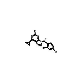 C[C@H](c1ccc(Cl)cc1Cl)n1nnc2c(C3CC3)nc(Cl)nc21